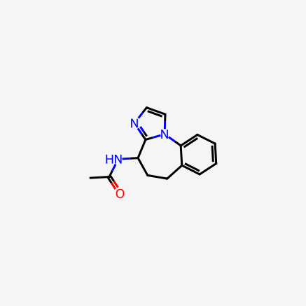 CC(=O)NC1CCc2ccccc2-n2ccnc21